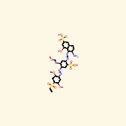 C=CS(=O)(=O)c1cc(OC)c(/N=N/c2cc(S(=O)(=O)O)c(/N=N/c3c(N)ccc4cc(S(=O)(=O)O)cc(O)c34)cc2N=COC)cc1OC